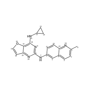 Cc1ccc2cc(Nc3nc(NC4CC4)c4occc4n3)ccc2n1